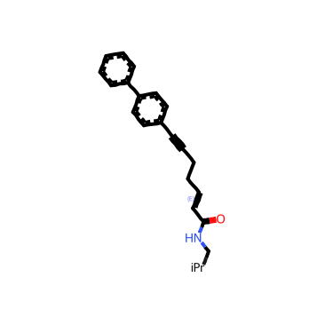 CC(C)CNC(=O)/C=C/CCC#Cc1ccc(-c2ccccc2)cc1